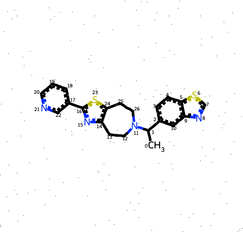 CC(c1ccc2scnc2c1)N1CCc2nc(-c3cccnc3)sc2CC1